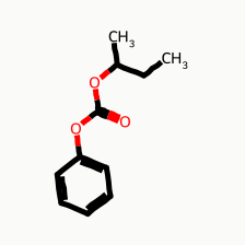 CCC(C)OC(=O)Oc1ccccc1